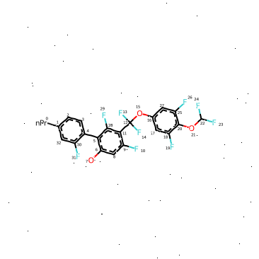 CCCc1ccc(-c2c([O])cc(F)c(C(F)(F)Oc3cc(F)c(OC(F)F)c(F)c3)c2F)c(F)c1